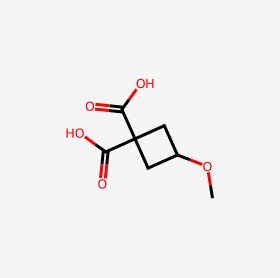 COC1CC(C(=O)O)(C(=O)O)C1